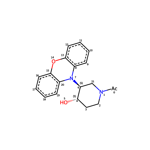 CC(=O)N1CC[C@H](O)[C@@H](N2c3ccccc3Oc3ccccc32)C1